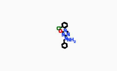 NN(Cc1ccccc1)c1ncn(-c2ccccc2Cl)c(=O)n1